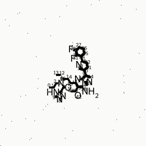 CCCN(C(=O)c1nnc[nH]1)[C@H](CC)CCc1nc2c(-c3ccc(-c4cccc(F)c4F)nc3)cnn2c(N)c1C(C)=O